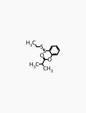 CCSSc1ccccc1OC(=O)C(C)C